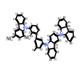 Cc1cc(-c2cccc(-n3c4ccccc4c4cc(C#N)ccc43)c2C#N)cc(-n2c3ccccc3c3cc(-n4c5ccccc5c5ccccc54)ccc32)c1